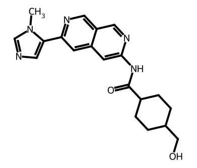 Cn1cncc1-c1cc2cc(NC(=O)C3CCC(CO)CC3)ncc2cn1